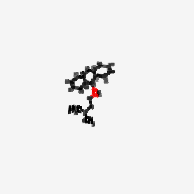 CC(C)CCOc1c2ccccc2cc2ccccc12